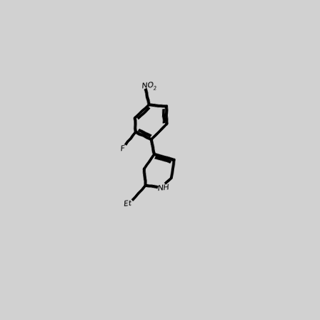 CCC1CC(c2ccc([N+](=O)[O-])cc2F)=CCN1